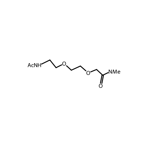 CNC(=O)COCCOCCNC(C)=O